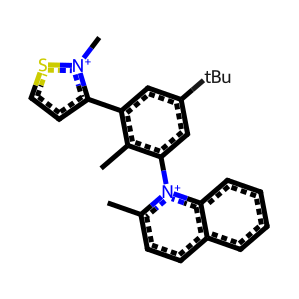 Cc1c(-c2ccs[n+]2C)cc(C(C)(C)C)cc1-[n+]1c(C)ccc2ccccc21